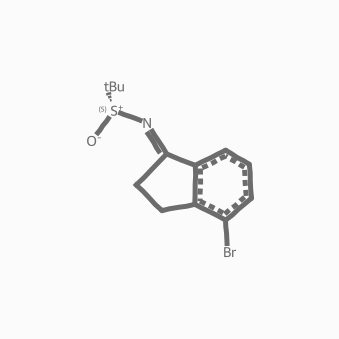 CC(C)(C)[S@@+]([O-])N=C1CCc2c(Br)cccc21